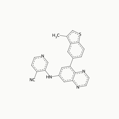 Cc1csc2ccc(-c3cc(Nc4cnccc4C#N)cc4nccnc34)cc12